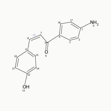 Nc1ccc(C(=O)/C=C\c2ccc(O)cc2)cc1